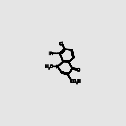 CC(C)c1c(Cl)ccc2c(=O)c(C(=O)O)cn(C)c12